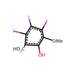 COc1c(O)c(C(=O)O)c(I)c(I)c1I